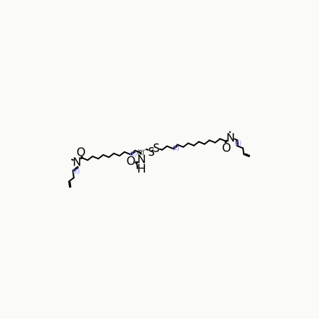 C=CC/C=C/N(C)C(=O)CCCCCCCC/C=C/CCSSC[C@@H](/C=C/CCCCCCCCC(=O)N(C)/C=C/CC=C)NC(C)=O